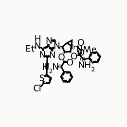 CCNc1nc(C#Cc2ccc(Cl)s2)nc2c1ncn2[C@H]1C(OC(=O)[C@@H](N)c2ccccc2)C(OC(=O)[C@@H](N)c2ccccc2)[C@]2(C(=O)NC)CC12